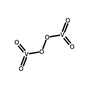 [O]=[V](=[O])[O][O][V](=[O])=[O]